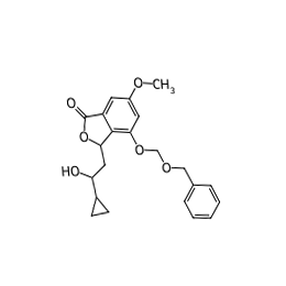 COc1cc(OCOCc2ccccc2)c2c(c1)C(=O)OC2CC(O)C1CC1